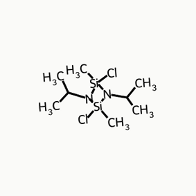 CC(C)N1[Si](C)(Cl)N(C(C)C)[Si]1(C)Cl